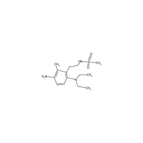 CCN(CC)c1ccc(N)c(C)c1CCNS(C)(=O)=O